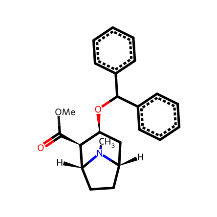 COC(=O)[C@H]1[C@@H](OC(c2ccccc2)c2ccccc2)C[C@@H]2CC[C@H]1N2C